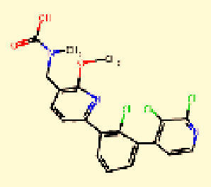 COc1nc(-c2cccc(-c3ccnc(Cl)c3Cl)c2Cl)ccc1CN(C)C(=O)O